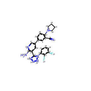 N#Cc1cc(-c2cnc(N)c(-c3nnnn3-c3cccc(F)c3F)c2)ccc1N1CCCC1